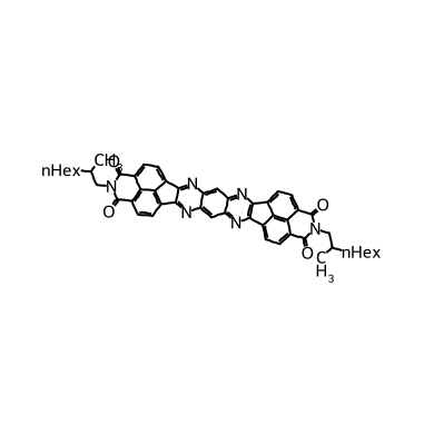 CCCCCCC(C)CN1C(=O)c2ccc3c4c(ccc(c24)C1=O)-c1nc2cc4nc5c(nc4cc2nc1-3)-c1ccc2c3c(ccc-5c13)C(=O)N(CC(C)CCCCCC)C2=O